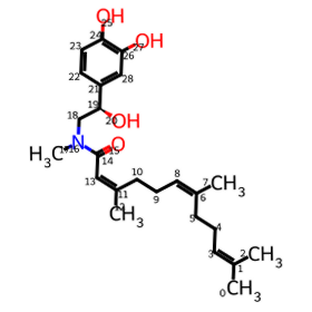 CC(C)=CCCC(C)=CCCC(C)=CC(=O)N(C)C[C@H](O)c1ccc(O)c(O)c1